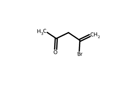 C=C(Br)CC(C)=O